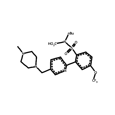 CCCCN(C(=O)O)S(=O)(=O)c1ccc(OC(F)(F)F)cc1-c1ccc(CN2CCN(C)CC2)cn1